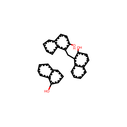 Oc1ccc2ccccc2c1Cc1c(O)ccc2ccccc12.Oc1cccc2ccccc12